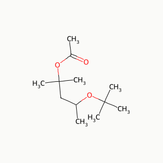 CC(=O)OC(C)(C)CC(C)OC(C)(C)C